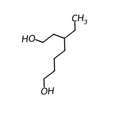 CCC(CCO)CCCCO